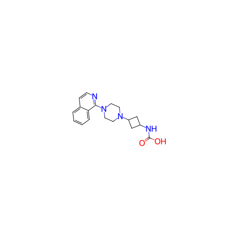 O=C(O)NC1CC(N2CCN(c3nccc4ccccc34)CC2)C1